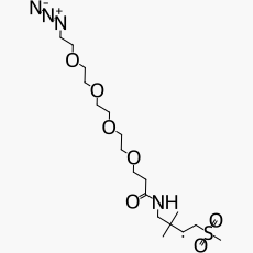 CC(C)([CH]CS(C)(=O)=O)CNC(=O)CCOCCOCCOCCOCCN=[N+]=[N-]